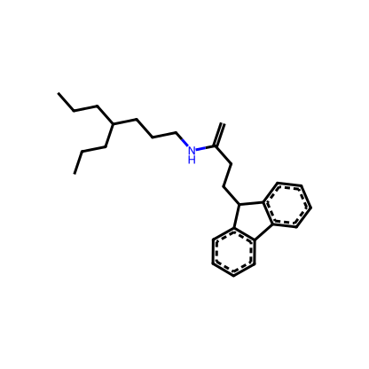 C=C(CCC1c2ccccc2-c2ccccc21)NCCCC(CCC)CCC